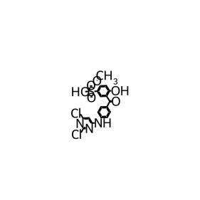 COc1cc(O)c(C(=O)c2ccc(Nc3cc(Cl)nc(Cl)n3)cc2)cc1S(=O)(=O)O